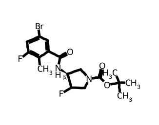 Cc1c(F)cc(Br)cc1C(=O)N[C@H]1CN(C(=O)OC(C)(C)C)CC1F